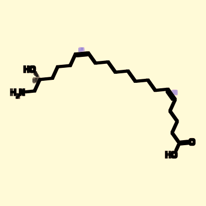 NC[C@H](O)CCC/C=C\CCCCCCC/C=C\CCCC(=O)O